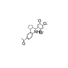 COc1cc(Br)c(C2Nc3ccc(C(C)=O)cc3C3CCCC32)cc1OC